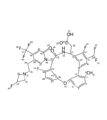 Cc1cccc2c1-c1cc(C(F)F)c(F)c(c1)C(CC(=O)O)NC(=O)C(n1cc(CCN3CC(F)C3)c(C(F)(F)F)cc1=O)c1cc(ccc1F)O2